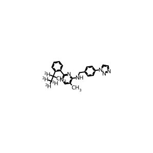 [2H]C([2H])([2H])C([2H])(C)c1ccccc1-c1ncc(C)c(NCc2ccc(-n3ccnn3)cc2)n1